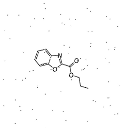 CCCOC(=O)c1nc2ccccc2o1